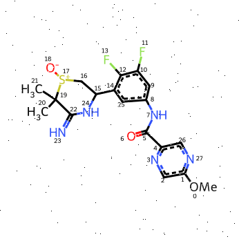 COc1cnc(C(=O)Nc2cc(F)c(F)c(C3C[S+]([O-])C(C)(C)C(=N)N3)c2)cn1